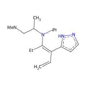 C=C/C(=C(\CC)N(C(C)C)C(C)CNC)c1ccn[nH]1